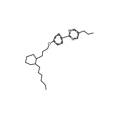 CCCCCCC1CCCCC1CCCOc1ccc(-c2ncc(CCC)cn2)cc1